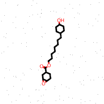 O=C(OCCCCCCCCC1CCC(O)CC1)C1CCC2OC2C1